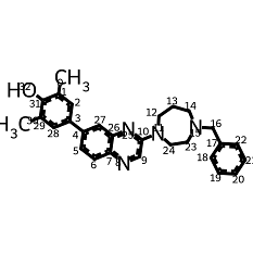 Cc1cc(-c2ccc3ncc(N4CCCN(Cc5ccccc5)CC4)nc3c2)cc(C)c1O